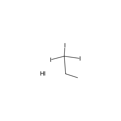 CCC(I)(I)I.I